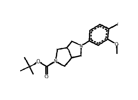 COc1cc(N2CC3CN(C(=O)OC(C)(C)C)CC3C2)ccc1I